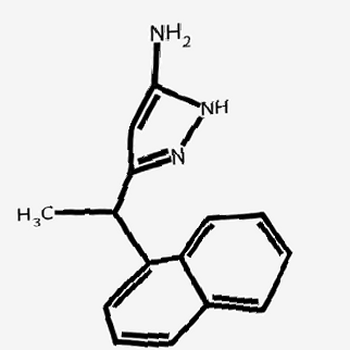 CC(c1cc(N)[nH]n1)c1cccc2ccccc12